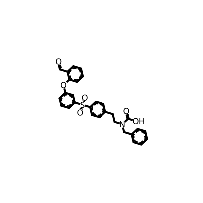 O=Cc1ccccc1Oc1cccc(S(=O)(=O)c2ccc(CCN(Cc3ccccc3)C(=O)O)cc2)c1